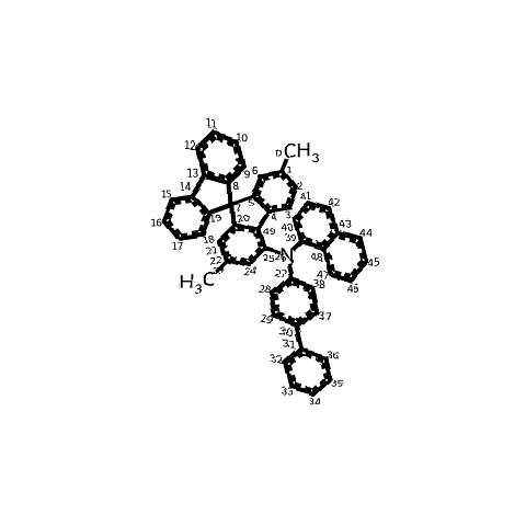 Cc1ccc2c(c1)C1(c3ccccc3-c3ccccc31)c1cc(C)cc(N(c3ccc(-c4ccccc4)cc3)c3cccc4ccccc34)c1-2